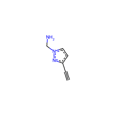 C#Cc1ccn(CN)n1